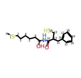 CSCCCCCC(O)NC(=O)C(CS)Cc1ccccc1